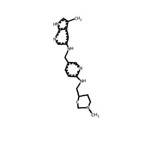 Cc1c[nH]c2ncc(NCc3ccc(NCC4CCN(C)CC4)nc3)cc12